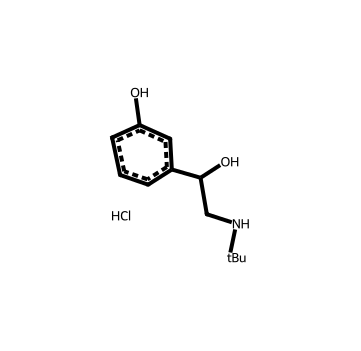 CC(C)(C)NCC(O)c1cccc(O)c1.Cl